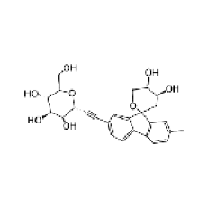 Cc1ccc2c(c1)C1(C[C@H](O)[C@H](O)CO1)c1cc(C#C[C@H]3O[C@H](CO)[C@@H](O)[C@H](O)[C@@H]3O)ccc1-2